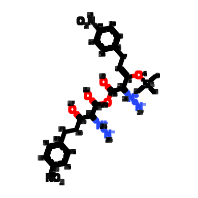 C[Si](C)(C)OC(=CCc1ccc([N+](=O)[O-])cc1)C(=[N+]=[N-])C(=O)OC(=O)C(=[N+]=[N-])C(=O)CCc1ccc([N+](=O)[O-])cc1